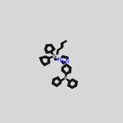 CC=CCC[Si](Cn1ccnc1)(c1ccccc1)c1ccccc1.c1ccc(B(c2ccccc2)c2ccccc2)cc1